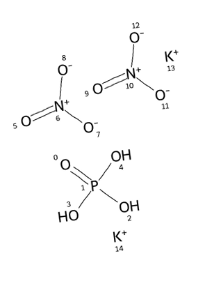 O=P(O)(O)O.O=[N+]([O-])[O-].O=[N+]([O-])[O-].[K+].[K+]